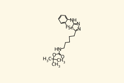 CC(C)(C)OC(=O)NCCCCCc1nnc(Nc2ccccc2F)[se]1